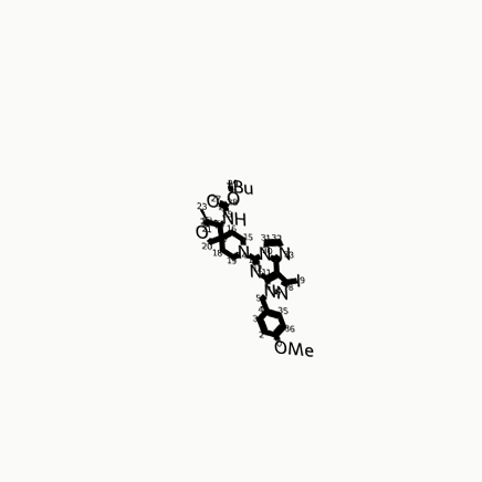 COc1ccc(Cn2nc(I)c3c2nc(N2CCC4(CC2)CO[C@@H](C)[C@H]4NC(=O)OC(C)(C)C)n2ccnc32)cc1